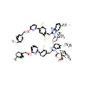 CC1(C)COCC1n1c(Cc2cc(F)c(-c3cccc(OCc4ccc(Cl)cc4)n3)cc2F)nc2ccc(C(=O)O)cc21.CC1(C)COCC1n1c(Cc2cc(F)c(-c3cccc(OCc4ccc(Cl)cc4)n3)cc2F)nc2ccc(C(=O)O)cc21